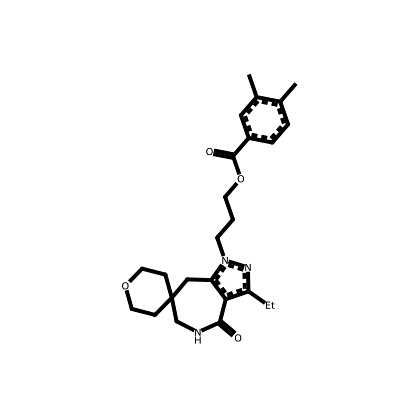 CCc1nn(CCCOC(=O)c2ccc(C)c(C)c2)c2c1C(=O)NCC1(CCOCC1)C2